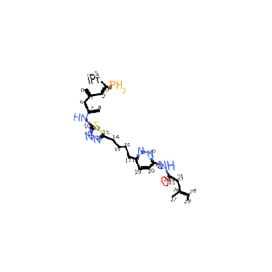 C=C(/C=C(/P)C(C)C)CC(=C)Nc1nnc(CCCCc2ccc(NC(=O)C/C(C)=C/C)nn2)s1